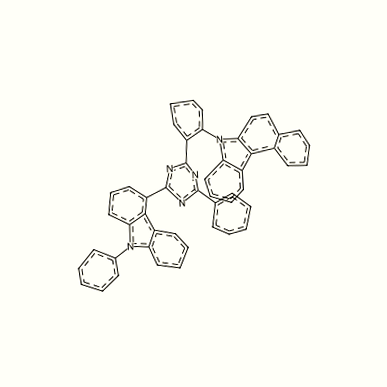 c1ccc(-c2nc(-c3ccccc3-n3c4ccccc4c4c5ccccc5ccc43)nc(-c3cccc4c3c3ccccc3n4-c3ccccc3)n2)cc1